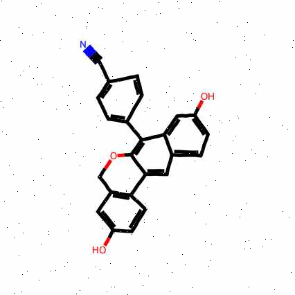 N#Cc1ccc(-c2c3c(cc4ccc(O)cc24)-c2ccc(O)cc2CO3)cc1